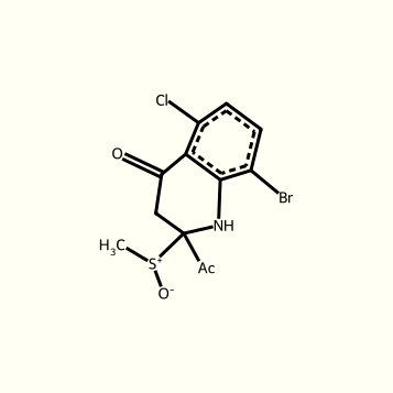 CC(=O)C1([S+](C)[O-])CC(=O)c2c(Cl)ccc(Br)c2N1